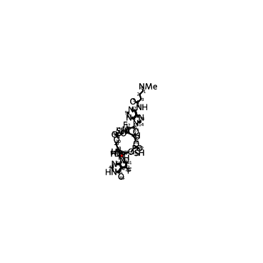 CNCCCC(=O)Nc1ncnc2c1ncn2[C@@H]1O[C@@H]2CO[P@@](=O)(S)O[C@@H]3[C@H](O)[C@@H](CO[P@@](=O)(S)O[C@H]2[C@H]1F)O[C@H]3n1cc(F)c2c(=O)[nH]cnc21